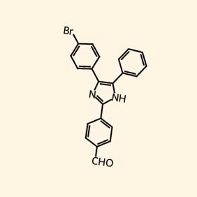 O=Cc1ccc(-c2nc(-c3ccc(Br)cc3)c(-c3ccccc3)[nH]2)cc1